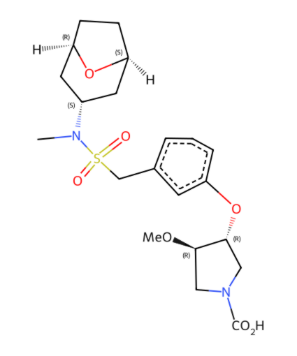 CO[C@@H]1CN(C(=O)O)C[C@H]1Oc1cccc(CS(=O)(=O)N(C)[C@@H]2C[C@H]3CC[C@@H](C2)O3)c1